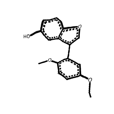 COc1c[c]c(OC)c(-c2coc3ccc(O)cc23)c1